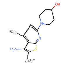 Nc1c(C(=O)O)sc2nc(N3CCC(O)CC3)cc(C(=O)O)c12